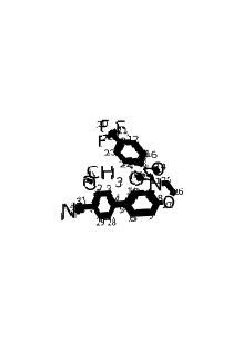 COc1cc(-c2ccc3c(c2)N(S(=O)(=O)c2ccc(C(F)(F)F)cc2)CCO3)ccc1C#N